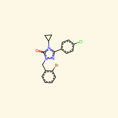 O=c1n(Cc2ccccc2Br)nc(-c2ccc(Cl)cc2)n1C1CC1